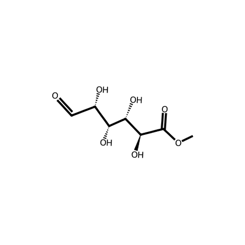 COC(=O)[C@@H](O)[C@@H](O)[C@H](O)[C@@H](O)C=O